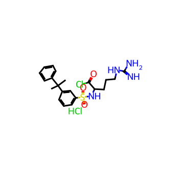 CC(C)(c1ccccc1)c1cccc(S(=O)(=O)NC(CCCNC(=N)N)C(=O)Cl)c1.Cl